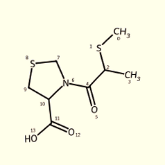 CSC(C)C(=O)N1CSCC1C(=O)O